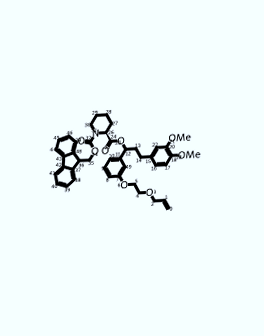 C=CCOCCOc1cccc(C(CCc2ccc(OC)c(OC)c2)OC(=O)[C@@H]2CCCCN2C(=O)OCC2c3ccccc3-c3ccccc32)c1